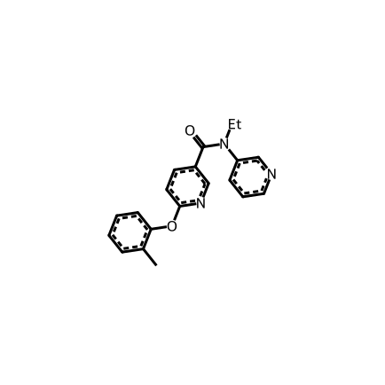 CCN(C(=O)c1ccc(Oc2ccccc2C)nc1)c1cccnc1